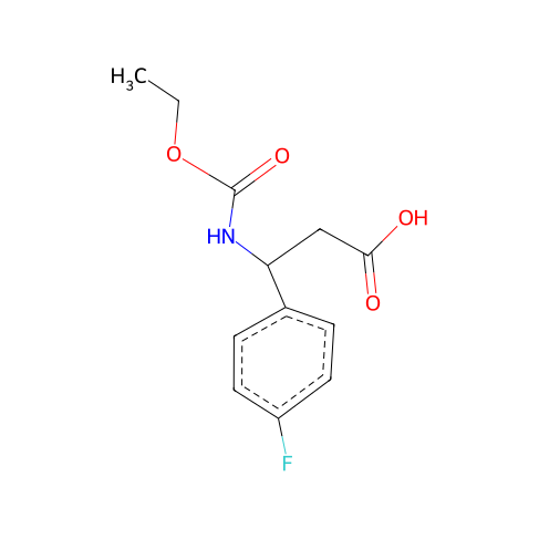 CCOC(=O)NC(CC(=O)O)c1ccc(F)cc1